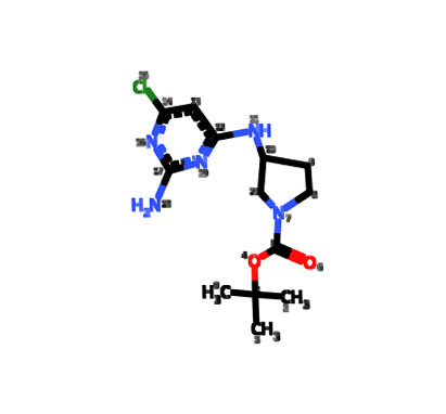 CC(C)(C)OC(=O)N1CCC(Nc2cc(Cl)nc(N)n2)C1